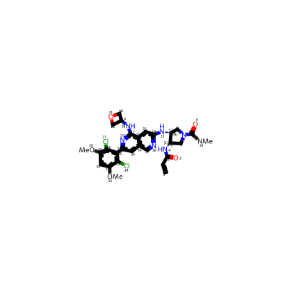 C=CC(=O)N[C@H]1CN(C(=O)NC)C[C@H]1Nc1cc2c(NC3COC3)nc(-c3c(Cl)c(OC)cc(OC)c3Cl)cc2cn1